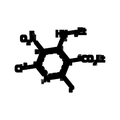 CCNc1c(C(=O)OCC)c(C)nc(Cl)c1[N+](=O)[O-]